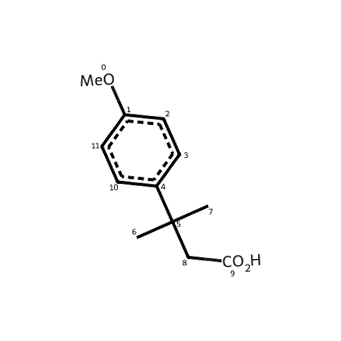 COc1ccc(C(C)(C)CC(=O)O)cc1